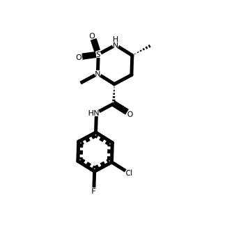 C[C@@H]1C[C@H](C(=O)Nc2ccc(F)c(Cl)c2)N(C)S(=O)(=O)N1